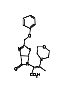 CC(=C(C(=O)O)N1C(=O)C2N=C(COc3ccccc3)SC21)N1CCOCC1